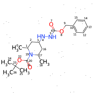 CC1CC(NNC(=O)OCc2ccccc2)CC(C)N1C(=O)OC(C)(C)C